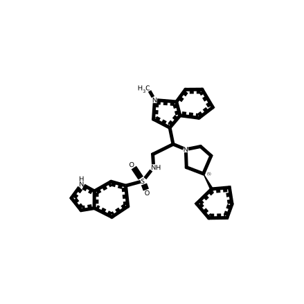 Cn1cc(C(CNS(=O)(=O)c2ccc3cc[nH]c3c2)N2CC[C@@H](c3ccccc3)C2)c2ccccc21